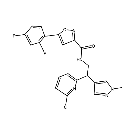 Cn1cc(C(CNC(=O)c2cc(-c3ccc(F)cc3F)on2)c2cccc(Cl)n2)cn1